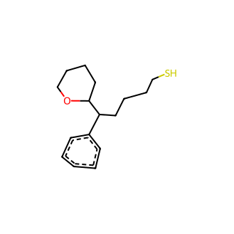 SCCCCC(c1ccccc1)C1CCCCO1